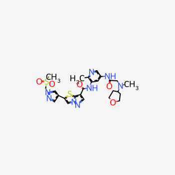 Cc1ncc(NC(=O)CN(C)C2CCOCC2)cc1NC(=O)c1cnn2cc(-c3cnn(CS(C)(=O)=O)c3)sc12